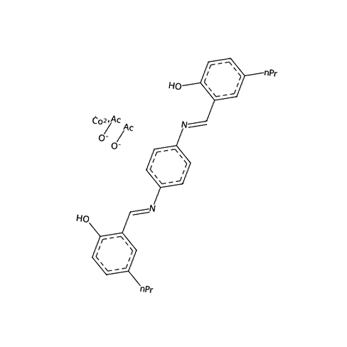 CC(=O)[O-].CC(=O)[O-].CCCc1ccc(O)c(C=Nc2ccc(N=Cc3cc(CCC)ccc3O)cc2)c1.[Co+2]